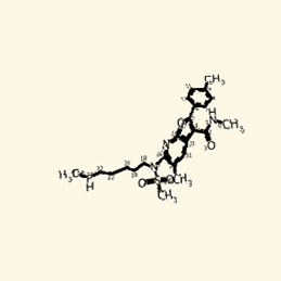 CNC(=O)c1c(-c2ccc(C)cc2)oc2nc(N(CCCCCPC)S(C)(=O)=O)c(C)cc12